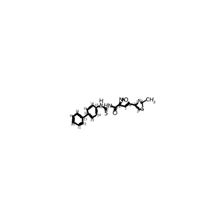 Cc1nc(-c2cc(C(=O)NC(=S)Nc3ccc(-c4ccccc4)cc3)no2)cs1